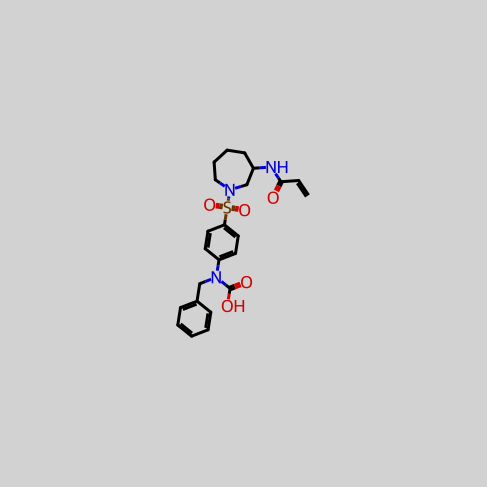 C=CC(=O)NC1CCCCN(S(=O)(=O)c2ccc(N(Cc3ccccc3)C(=O)O)cc2)C1